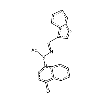 CC(=O)N(N=Cc1coc2ccccc12)n1ccc(=O)c2ccccc21